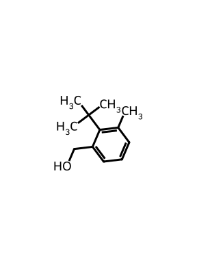 Cc1cccc(CO)c1C(C)(C)C